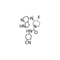 CN(c1ccnc2[nH]ccc12)C1CN(C(=O)Nc2ccc(C#N)cc2)CC[C@H]1F